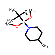 CO[Si](OC)(N1CCC(C)CC1)C(C)(C)C